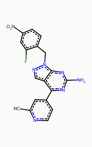 N#Cc1cc(-c2nc(N)nc3c2cnn3Cc2ccc([N+](=O)[O-])cc2F)ccn1